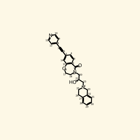 O=C1c2ccc(C#Cc3ccncc3)cc2OCCN1CC(O)CN1CCc2ccccc2C1